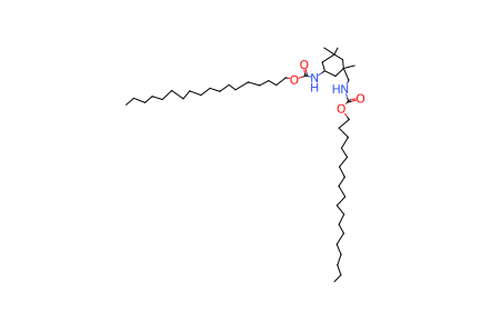 CCCCCCCCCCCCCCCCCCOC(=O)NCC1(C)CC(NC(=O)OCCCCCCCCCCCCCCCCCC)CC(C)(C)C1